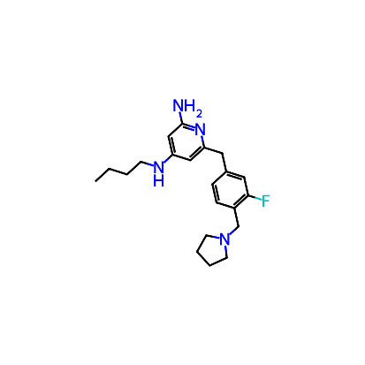 CCCCNc1cc(N)nc(Cc2ccc(CN3CCCC3)c(F)c2)c1